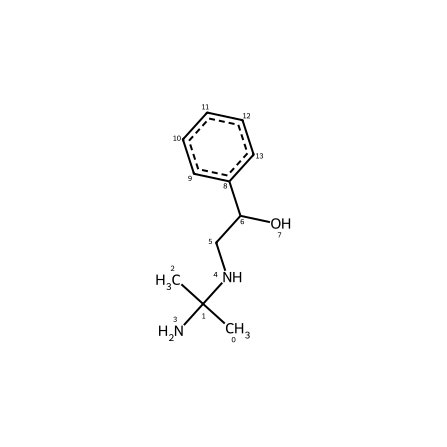 CC(C)(N)NCC(O)c1ccccc1